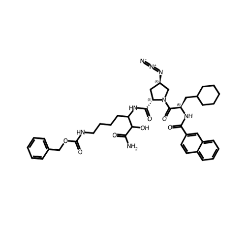 [N-]=[N+]=N[C@@H]1C[C@@H](C(=O)NC(CCCCNC(=O)OCc2ccccc2)C(O)C(N)=O)N(C(=O)[C@@H](CC2CCCCC2)NC(=O)c2ccc3ccccc3c2)C1